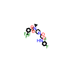 O=C(CC(=O)N1CCC(N(C2CC2)S(=O)(=O)c2cccc(C(F)(F)F)c2)CC1)Nc1ccc(F)cc1F